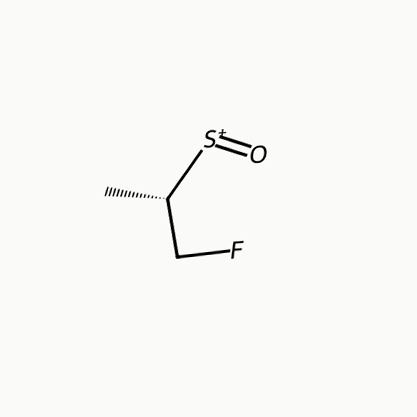 C[C@@H](CF)[S+]=O